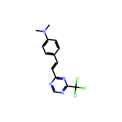 CN(C)c1ccc(/C=C/c2ncnc(C(Cl)(Cl)Cl)n2)cc1